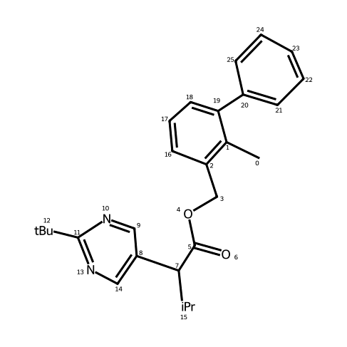 Cc1c(COC(=O)C(c2cnc(C(C)(C)C)nc2)C(C)C)cccc1-c1ccccc1